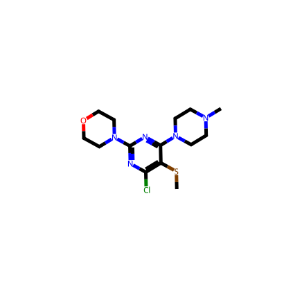 CSc1c(Cl)nc(N2CCOCC2)nc1N1CCN(C)CC1